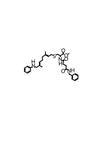 COC(=O)C(CSCC=C(C)CCC=C(C)CNc1ccccc1)NC(=O)CCC(=O)NCc1ccccc1